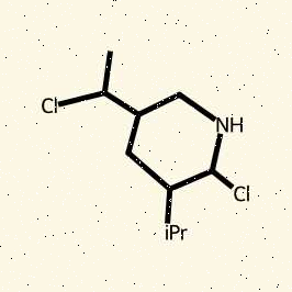 CC(C)C1CC(C(C)Cl)CNC1Cl